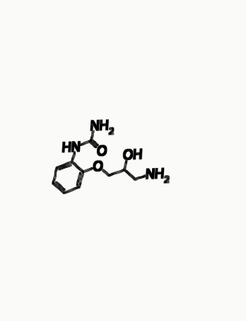 NCC(O)COc1ccccc1NC(N)=O